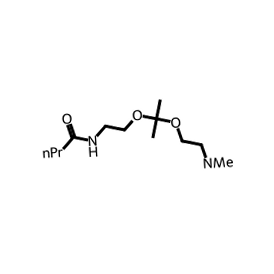 CCCC(=O)NCCOC(C)(C)OCCNC